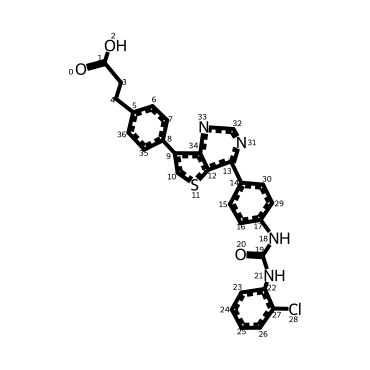 O=C(O)CCc1ccc(-c2csc3c(-c4ccc(NC(=O)Nc5ccccc5Cl)cc4)ncnc23)cc1